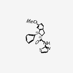 COc1ccc2c(c1)[C@H](c1ccccc1)[C@@H](C(=O)Nc1nccs1)C2